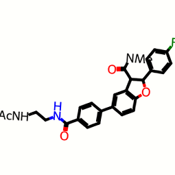 CNC(=O)C1c2cc(-c3ccc(C(=O)NCCNC(C)=O)cc3)ccc2OC1c1ccc(F)cc1